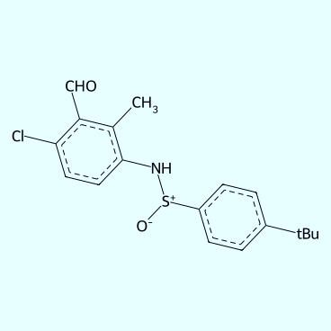 Cc1c(N[S+]([O-])c2ccc(C(C)(C)C)cc2)ccc(Cl)c1C=O